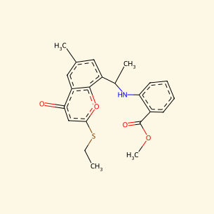 CCSc1cc(=O)c2cc(C)cc(C(C)Nc3ccccc3C(=O)OC)c2o1